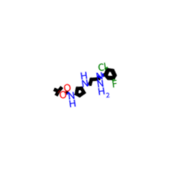 CC(C)(C)OC(=O)N[C@H]1CC[C@@H](NCC/C(N)=N/c2cc(F)ccc2Cl)C1